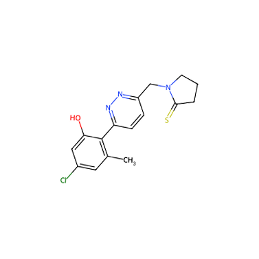 Cc1cc(Cl)cc(O)c1-c1ccc(CN2CCCC2=S)nn1